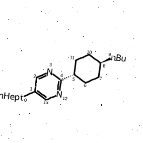 CCCCCCCc1cnc([C@H]2CC[C@H](CCCC)CC2)nc1